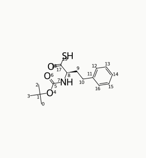 CC(C)(C)OC(=O)N[C@H](CCc1ccccc1)C(=O)S